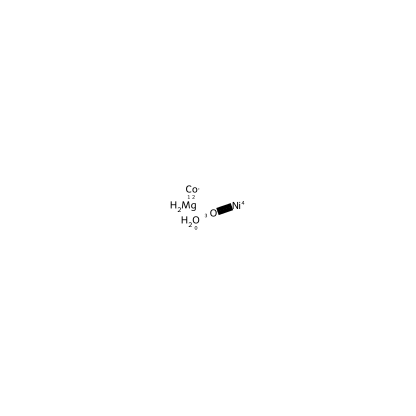 O.[Co].[MgH2].[O]=[Ni]